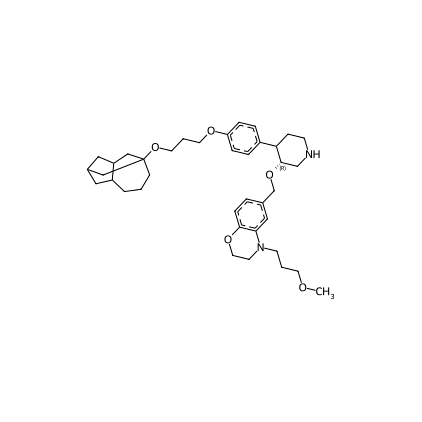 COCCCN1CCOc2ccc(CO[C@H]3CNCCC3c3ccc(OCCCOC45CCCC6CC(CC6C4)C5)cc3)cc21